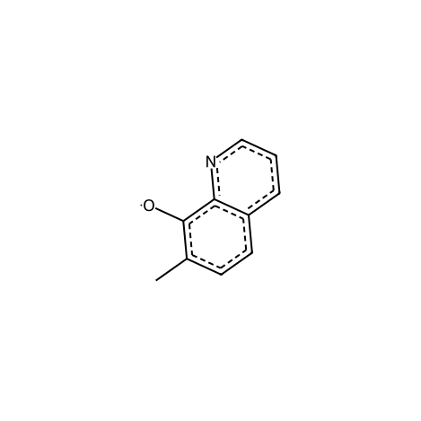 Cc1ccc2cccnc2c1[O]